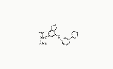 CNCCN(C)Cc1c(OC)cc(OCc2cccc(-c3ccccc3)c2)c2c1CCC2